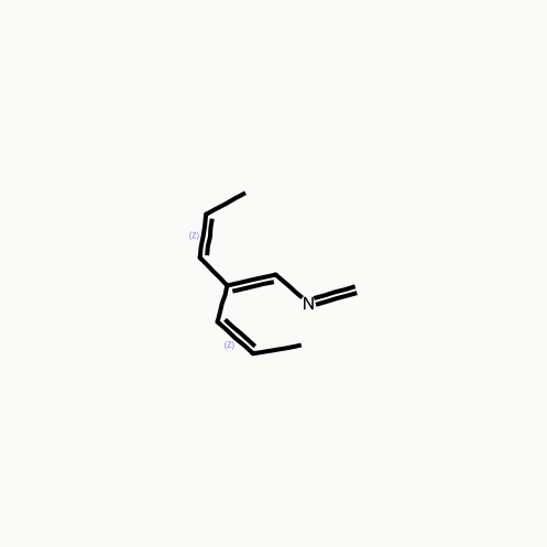 C=NC=C(/C=C\C)/C=C\C